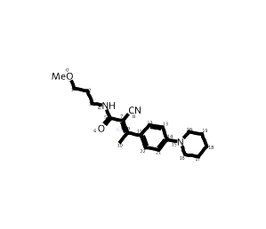 COCCCNC(=O)/C(C#N)=C(\C)c1ccc(N2CCCCC2)cc1